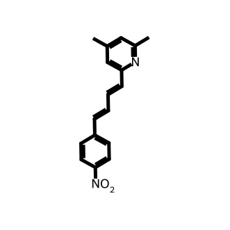 Cc1cc(C)nc(C=CC=Cc2ccc([N+](=O)[O-])cc2)c1